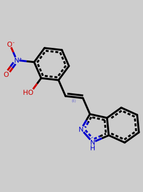 O=[N+]([O-])c1cccc(/C=C/c2n[nH]c3ccccc23)c1O